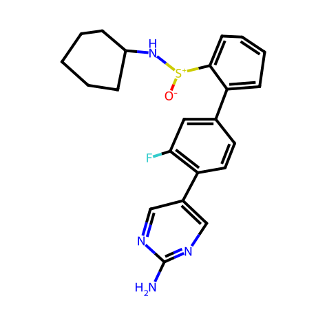 Nc1ncc(-c2ccc(-c3ccccc3[S+]([O-])NC3CCCCC3)cc2F)cn1